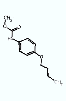 [CH2]OC(=O)Nc1ccc(OCCCC)cc1